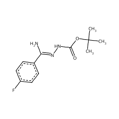 CC(C)(C)OC(=O)N/N=C(\N)c1ccc(F)cc1